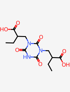 CCC(Cn1c(=O)[nH]c(=O)n(CC(CC)C(=O)O)c1=O)C(=O)O